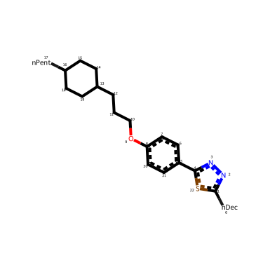 CCCCCCCCCCc1nnc(-c2ccc(OCCCC3CCC(CCCCC)CC3)cc2)s1